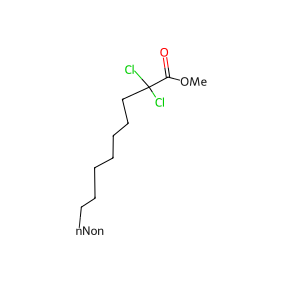 CCCCCCCCCCCCCCCCC(Cl)(Cl)C(=O)OC